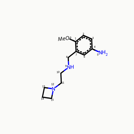 COc1ccc(N)cc1CNCCN1CCC1